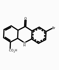 O=C(O)C1=CC=CC2C(=O)c3cc(Br)ccc3NC12